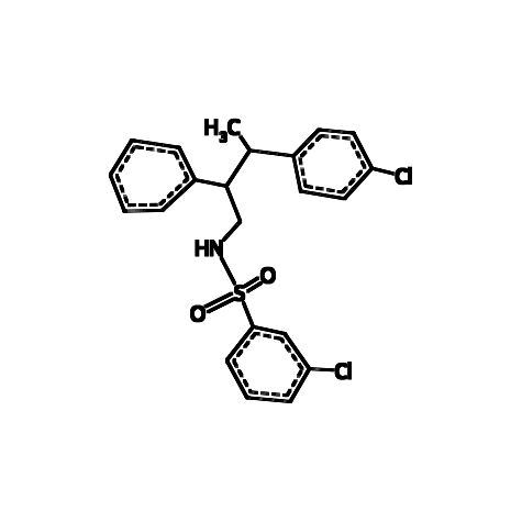 CC(c1ccc(Cl)cc1)C(CNS(=O)(=O)c1cccc(Cl)c1)c1ccccc1